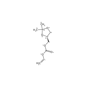 C=COC(=O)OC[C@@H]1COC(C)(C)O1